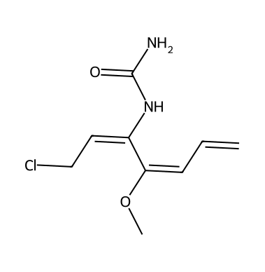 C=C/C=C(OC)\C(=C/CCl)NC(N)=O